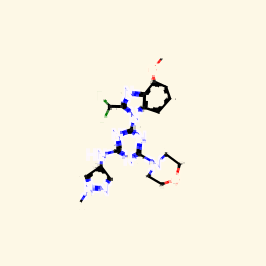 COc1cccc2c1nc(C(F)F)n2-c1nc(Nc2cnn(C)c2)nc(N2CCOCC2)n1